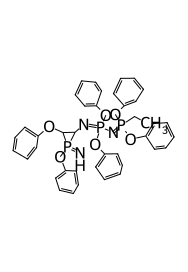 CCP(=NP(=NC1C(Oc2ccccc2)P1(=N)Oc1ccccc1)(Oc1ccccc1)Oc1ccccc1)(Oc1ccccc1)Oc1ccccc1